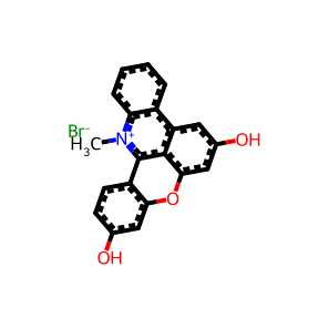 C[n+]1c2c3c(cc(O)cc3c3ccccc31)Oc1cc(O)ccc1-2.[Br-]